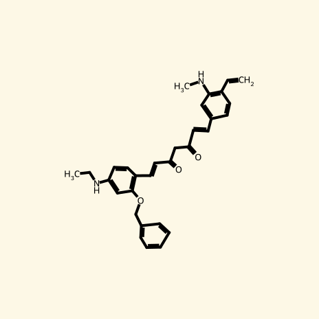 C=Cc1ccc(/C=C/C(=O)CC(=O)/C=C/c2ccc(NCC)cc2OCc2ccccc2)cc1NC